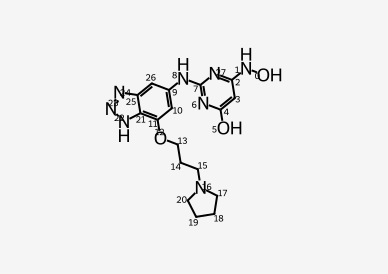 ONc1cc(O)nc(Nc2cc(OCCCN3CCCC3)c3[nH]nnc3c2)n1